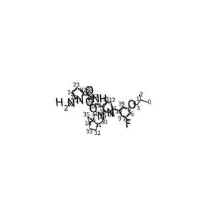 CC(C)COc1cc(F)cc(-c2ccc(C(=O)NS(=O)(=O)c3cccc(N)n3)c(N3CC4CCC5CC45C3)n2)c1